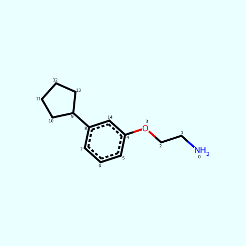 NCCOc1cccc(C2CCCC2)c1